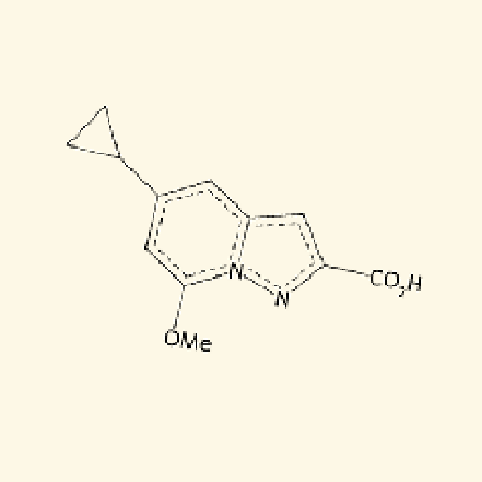 COc1cc(C2CC2)cc2cc(C(=O)O)nn12